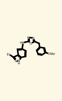 CCc1n[nH]c2ccc(Nc3nnc(Cc4cccc(OC)c4)o3)cc12